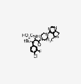 C[C@@H]1SCc2ncnc(N3CCN(C(=O)C(NC(=O)O)[C@@H](c4ccc(Cl)c(F)c4)C(C)(C)C)CC3)c21